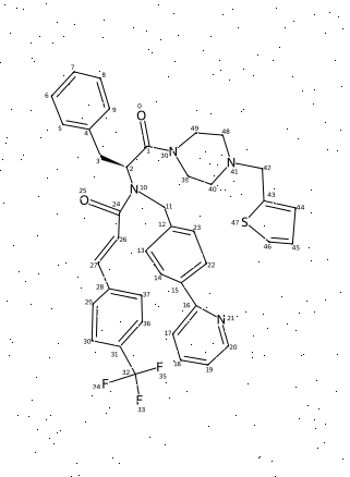 O=C([C@H](Cc1ccccc1)N(Cc1ccc(-c2ccccn2)cc1)C(=O)C=Cc1ccc(C(F)(F)F)cc1)N1CCN(Cc2cccs2)CC1